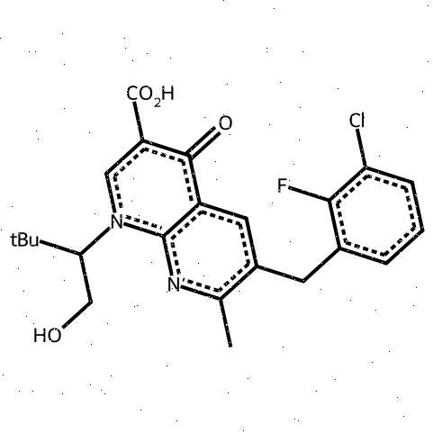 Cc1nc2c(cc1Cc1cccc(Cl)c1F)c(=O)c(C(=O)O)cn2C(CO)C(C)(C)C